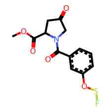 COC(=O)C1CC(=O)CN1C(=O)c1cccc(OSF)c1